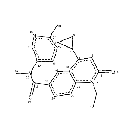 CCn1c(=O)cc(C2CC2)c2cc(C(=O)N(C)c3ccc(C)nc3)ccc21